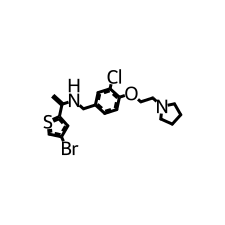 C=C(NCc1ccc(OCCN2CCCC2)c(Cl)c1)c1cc(Br)cs1